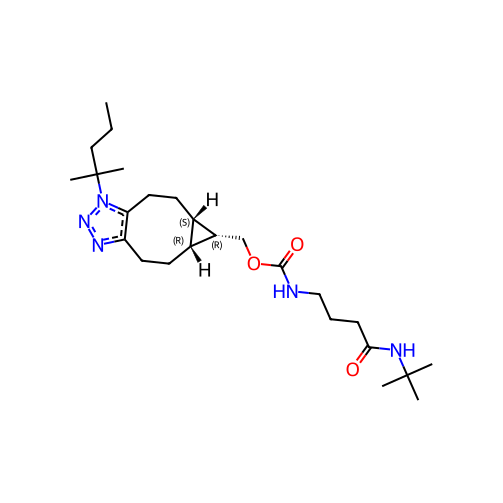 CCCC(C)(C)n1nnc2c1CC[C@H]1[C@@H](CC2)[C@H]1COC(=O)NCCCC(=O)NC(C)(C)C